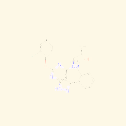 COCc1ccccc1-c1n[nH]c2nc(Oc3ccc(F)cc3F)nc(NCC(C)O)c12